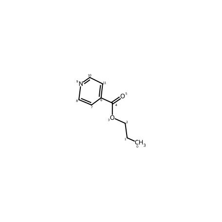 CCCOC(=O)c1ccncc1